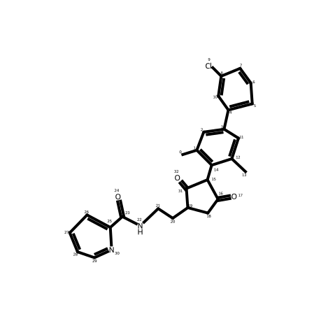 Cc1cc(-c2cccc(Cl)c2)cc(C)c1C1C(=O)CC(CCNC(=O)c2ccccn2)C1=O